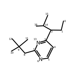 CCC(c1ccnc(CC(C)(C)C)n1)C(C)C